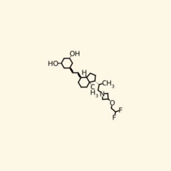 CC(CN1CC(OCC(F)F)C1)[C@H]1CC[C@H]2/C(=C/C=C3C[C@@H](O)C[C@H](O)C3)CCC[C@]12C